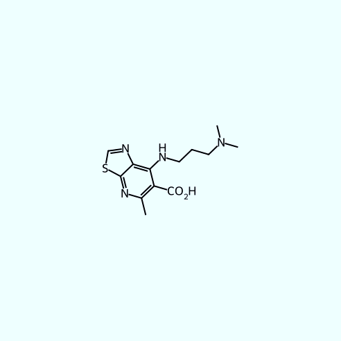 Cc1nc2scnc2c(NCCCN(C)C)c1C(=O)O